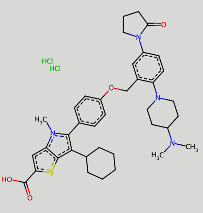 CN(C)C1CCN(c2ccc(N3CCCC3=O)cc2COc2ccc(-c3c(C4CCCCC4)c4sc(C(=O)O)cc4n3C)cc2)CC1.Cl.Cl